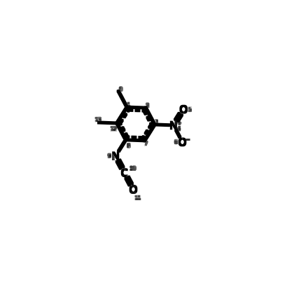 Cc1cc([N+](=O)[O-])cc(N=C=O)c1C